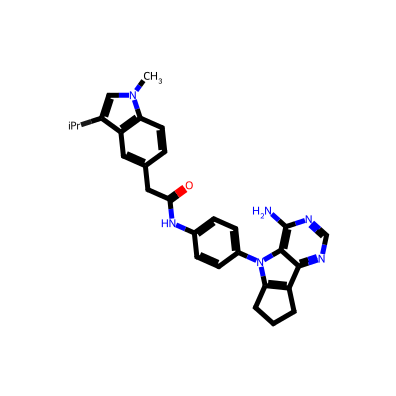 CC(C)c1cn(C)c2ccc(CC(=O)Nc3ccc(-n4c5c(c6ncnc(N)c64)CCC5)cc3)cc12